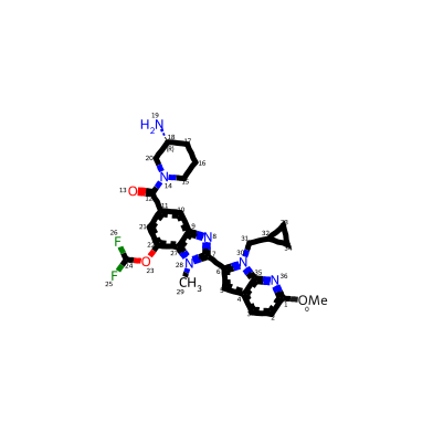 COc1ccc2cc(-c3nc4cc(C(=O)N5CCC[C@@H](N)C5)cc(OC(F)F)c4n3C)n(CC3CC3)c2n1